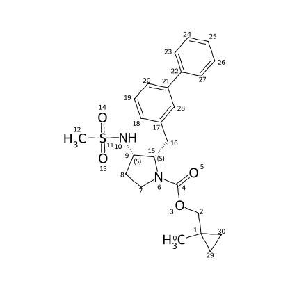 CC1(COC(=O)N2CC[C@H](NS(C)(=O)=O)[C@@H]2Cc2cccc(-c3ccccc3)c2)CC1